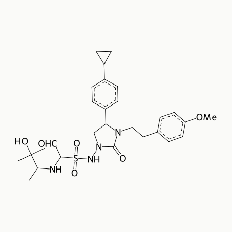 COc1ccc(CCN2C(=O)N(NS(=O)(=O)C(C=O)NC(C)C(C)(C)O)CC2c2ccc(C3CC3)cc2)cc1